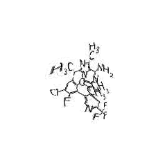 Cc1nc([C@@H](C)c2cc(Cl)c(F)c(-c3ccc(C(F)(F)F)nc3)c2OC(C)C)n2ccnc(N)c12